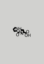 O=C(O)c1ccn(C(=O)[C@@H]2CCCN2)n1